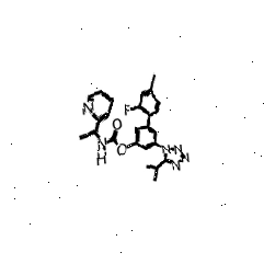 Cc1ccc(-c2cc(OC(=O)NC(C)c3ccccn3)cc(-n3nnnc3C(C)C)c2)c(F)c1